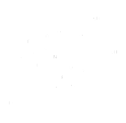 CCCSOP(=O)(CN(CC(=O)OCC)C(=O)C(F)(F)F)OSCCC